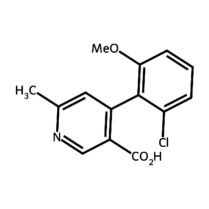 COc1cccc(Cl)c1-c1cc(C)ncc1C(=O)O